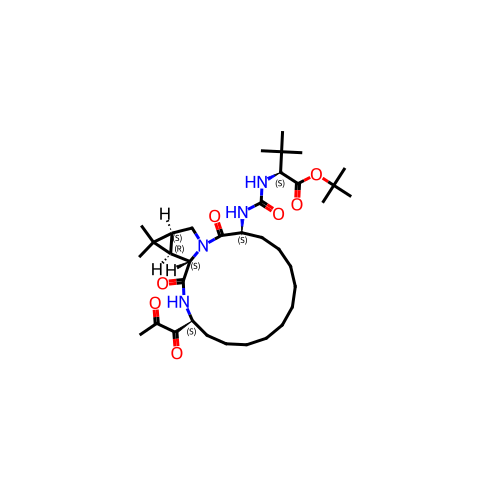 CC(=O)C(=O)[C@@H]1CCCCCCCCCC[C@H](NC(=O)N[C@H](C(=O)OC(C)(C)C)C(C)(C)C)C(=O)N2C[C@H]3[C@@H]([C@H]2C(=O)N1)C3(C)C